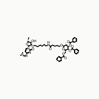 CC[C@H]1O[C@@H](n2ccc(/N=C\N(C)C)nc2=O)[C@@H](OCCCCCCNC(=O)CCCCO[C@@H]2O[C@H](COC(=O)c3ccccc3)[C@H](OC(=O)c3ccccc3)[C@H](OC(=O)c3ccccc3)[C@H]2C)C1O